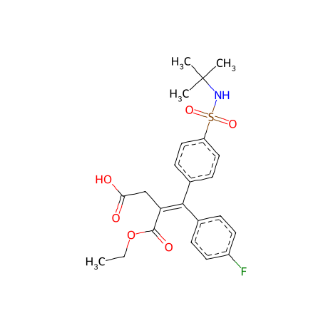 CCOC(=O)/C(CC(=O)O)=C(\c1ccc(F)cc1)c1ccc(S(=O)(=O)NC(C)(C)C)cc1